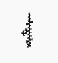 CCCCOC(=O)NCCCN(CCCCNC(=O)OC(C)(C)C)C(=O)OC(C)(C)C